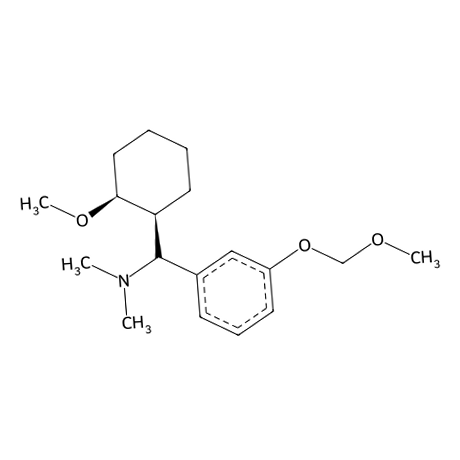 COCOc1cccc(C([C@@H]2CCCC[C@@H]2OC)N(C)C)c1